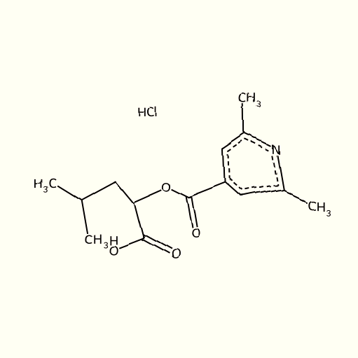 Cc1cc(C(=O)OC(CC(C)C)C(=O)O)cc(C)n1.Cl